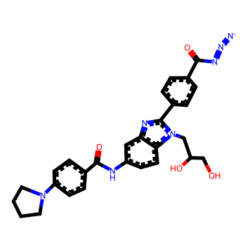 [N-]=[N+]=NC(=O)c1ccc(-c2nc3cc(NC(=O)c4ccc(N5CCCC5)cc4)ccc3n2CC(O)CO)cc1